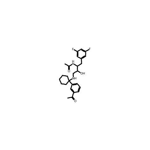 CC(=O)NC(Cc1cc(F)cc(F)c1)C(O)CNC1(c2cccc(C(C)=O)c2)CCCCC1